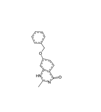 Cc1nc(=O)c2ccc(OCc3ccccc3)cc2[nH]1